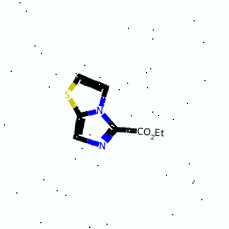 CCOC(=O)c1ncc2sccn12